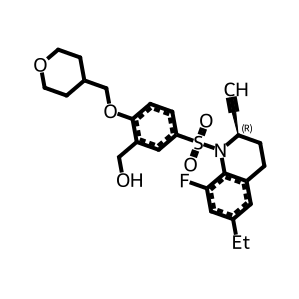 C#C[C@H]1CCc2cc(CC)cc(F)c2N1S(=O)(=O)c1ccc(OCC2CCOCC2)c(CO)c1